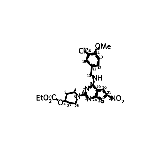 CCOC(=O)OC1CCN(c2nc(NCc3ccc(OC)c(Cl)c3)c3cc([N+](=O)[O-])sc3n2)CC1